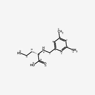 Cc1cc(N)nc(CN[C@@H](CCS)C(=O)O)c1